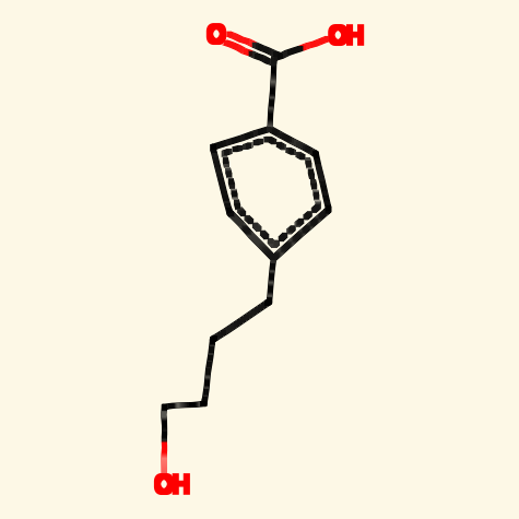 O=C(O)c1ccc(CCCCO)cc1